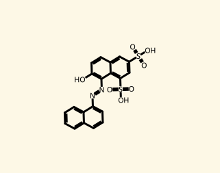 O=S(=O)(O)c1cc(S(=O)(=O)O)c2c(N=Nc3cccc4ccccc34)c(O)ccc2c1